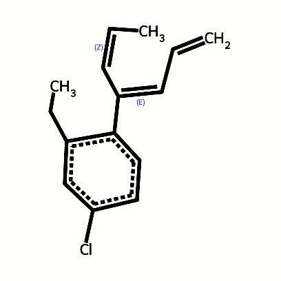 C=C/C=C(\C=C/C)c1ccc(Cl)cc1CC